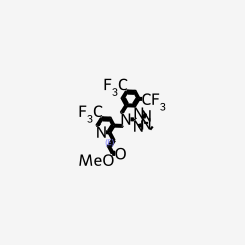 COC(=O)/C=C/c1ncc(C(F)(F)F)cc1CN(Cc1cc(C(F)(F)F)cc(C(F)(F)F)c1)c1nnn(C)n1